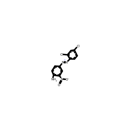 Nc1ccc(/N=N/c2ccc(Cl)cc2Cl)cc1[N+](=O)[O-]